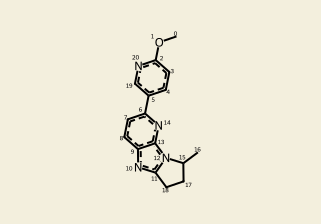 COc1ccc(-c2ccc3nc4n(c3n2)C(C)CC4)cn1